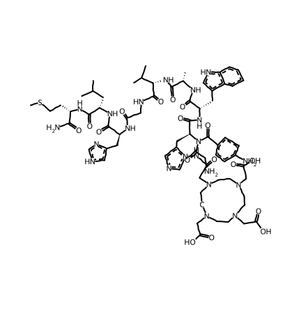 CSCC[C@H](NC(=O)[C@H](CC(C)C)NC(=O)[C@H](Cc1c[nH]cn1)NC(=O)CNC(=O)[C@@H](NC(=O)[C@H](C)NC(=O)[C@H](Cc1c[nH]c2ccccc12)NC(=O)[C@H](Cc1cncn1NC(=O)CN1CCN(CC(=O)O)CCN(CC(=O)O)CCN(CC(=O)O)CC1)N(C(=O)CN)C(=O)c1ccc(N)cc1)C(C)C)C(N)=O